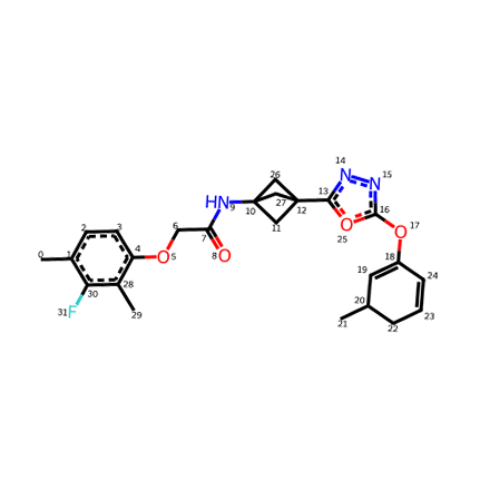 Cc1ccc(OCC(=O)NC23CC(c4nnc(OC5=CC(C)CC=C5)o4)(C2)C3)c(C)c1F